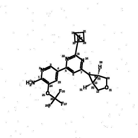 Nc1ncc(-c2cc(C3[C@H]4COC[C@@H]34)nc(N3CC4CC3C4)n2)cc1OC(F)(F)F